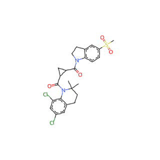 CC1(C)CCc2cc(Cl)cc(Cl)c2N1C(=O)C1CC1C(=O)N1CCc2cc(S(C)(=O)=O)ccc21